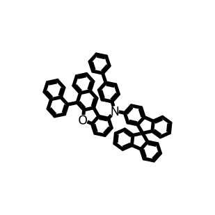 c1ccc(-c2ccc(N(c3ccc4c(c3)C3(c5ccccc5-c5ccccc53)c3ccccc3-4)c3cccc4oc5c(-c6cccc7ccccc67)c6ccccc6cc5c34)cc2)cc1